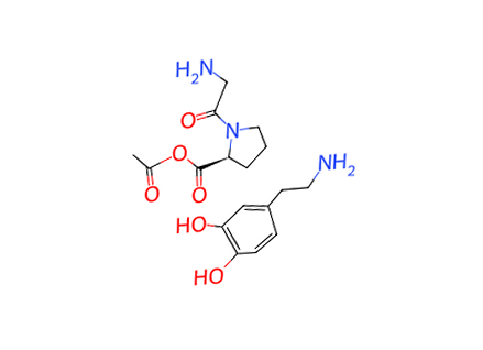 CC(=O)OC(=O)[C@@H]1CCCN1C(=O)CN.NCCc1ccc(O)c(O)c1